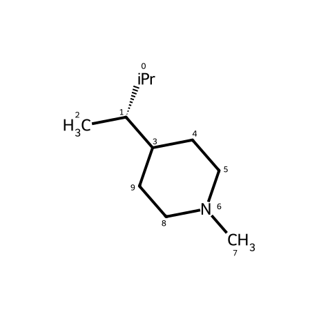 CC(C)[C@@H](C)C1CCN(C)CC1